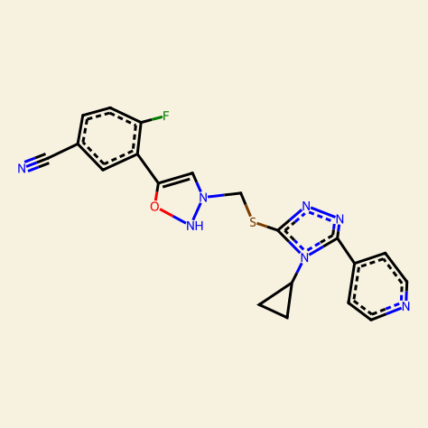 N#Cc1ccc(F)c(C2=CN(CSc3nnc(-c4ccncc4)n3C3CC3)NO2)c1